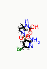 CC1(NC(=O)O)CCN(S(=O)(=O)c2cc(Br)cnc2N)C1